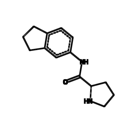 O=C(Nc1ccc2c(c1)CCC2)C1CCCN1